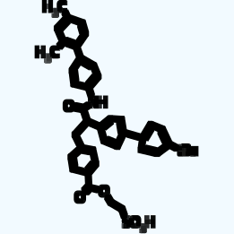 Cc1ccc(-c2ccc(NC(=O)C(Cc3ccc(C(=O)OCCS(=O)(=O)O)cc3)c3ccc(-c4ccc(C(C)(C)C)cc4)cc3)cc2)c(C)c1